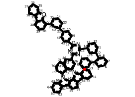 c1ccc(-c2ccccc2-c2cccc(-c3nc(-c4ccc(-c5cccc(-c6cccc7c6oc6ccccc67)c5)cc4)nc(-c4cccc(-n5c6ccccc6c6ccc7c8ccccc8n(-c8ccccc8)c7c65)c4)n3)c2)cc1